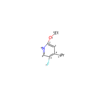 CCOc1cc(C(C)C)c(F)cn1